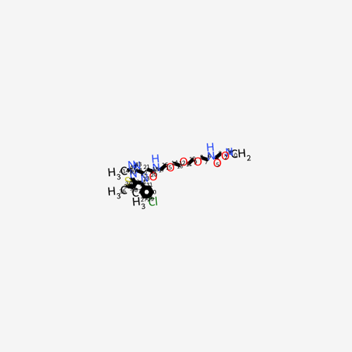 C=NOCC(=O)NCCOCCOCCOCCNC(=O)C[C@@H]1N=C(c2ccc(Cl)cc2)c2c(sc(C)c2C)-n2c(C)nnc21